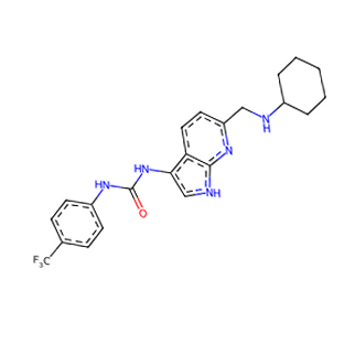 O=C(Nc1ccc(C(F)(F)F)cc1)Nc1c[nH]c2nc(CNC3CCCCC3)ccc12